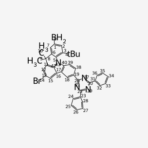 Bc1cc(C(C)(C)C)c2c(c1)C(C)(C)c1cc(Br)cc3c4cc(-c5nc(-c6ccccc6)nc(-c6ccccc6)n5)ccc4n-2c13